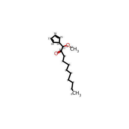 CCCCCCCCCC(=O)C(OC)C1C=CC=C1